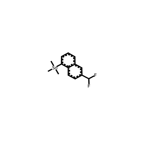 [CH3][Sn]([CH3])([CH3])[c]1cccc2cc(C(F)F)ccc12